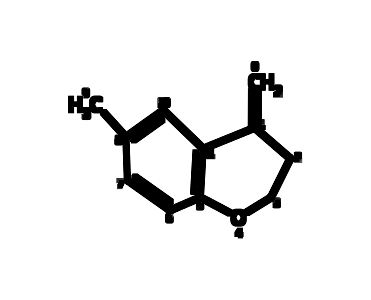 C=C1CCOc2ccc(C)cc21